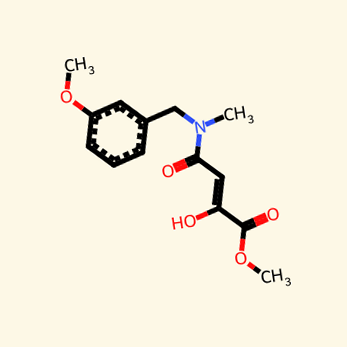 COC(=O)C(O)=CC(=O)N(C)Cc1cccc(OC)c1